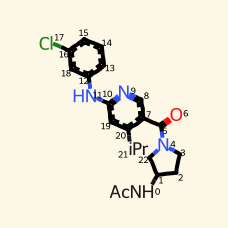 CC(=O)NC1CCN(C(=O)c2cnc(Nc3cccc(Cl)c3)cc2C(C)C)C1